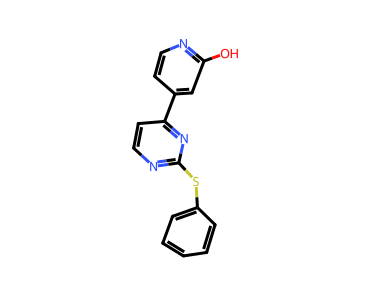 Oc1cc(-c2ccnc(Sc3ccccc3)n2)ccn1